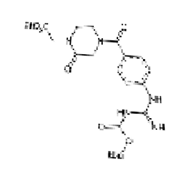 CCOC(=O)CN1CCN(C(=O)c2ccc(NC(=N)NC(=O)OC(C)(C)C)cc2)CC1=O